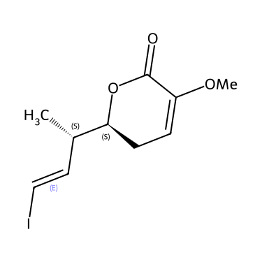 COC1=CC[C@@H]([C@@H](C)/C=C/I)OC1=O